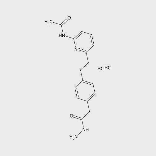 CC(=O)Nc1cccc(CCc2ccc(CC(=O)NN)cc2)n1.Cl.Cl